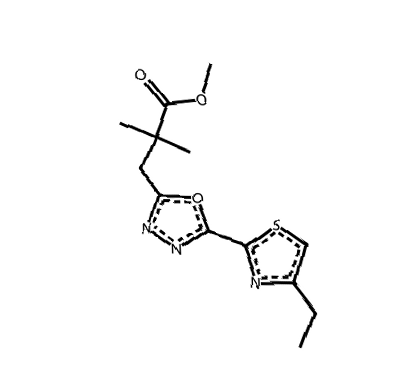 CCc1csc(-c2nnc(CC(C)(C)C(=O)OC)o2)n1